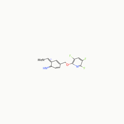 CN/C=C1/C=C(COc2nc(F)c(F)cc2F)C=CC1=N